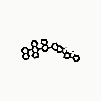 c1ccc2c(-c3c4ccccc4c(-c4ccc(-c5ccc6cc7oc8c(ccc9c%10ccccc%10oc98)c7cc6c5)c5ccccc45)c4ccccc34)cccc2c1